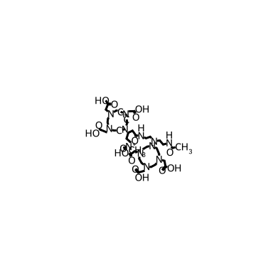 CC(=O)NCCN(CCNC(=O)CC(CC[N+](C)=O)N1CCN(CC(=O)O)CCN(CC(=O)O)CCN(CC(=O)O)CC1)N1CCN(CC(=O)O)CCN(CC(=O)O)CCN(CC(=O)O)CC1